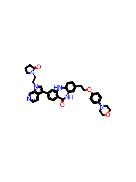 O=C1Nc2cc(CCOc3ccc(N4CCOCC4)cc3)ccc2Nc2cc(-c3cn(CCN4CCCC4=O)c4cnccc34)ccc21